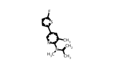 C=C(C)N(C)c1ncc(-c2ccc(F)s2)cc1C